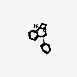 c1ccc([C@H]2CN3CC[C@@H]3c3ccccc32)cc1